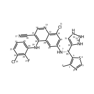 Cc1ncsc1[C@H](Nc1cc(Cl)c2ncc(C#N)c(Nc3cccc(Cl)c3F)c2c1)C1=CNNN1